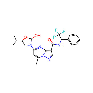 Cc1cc(N2CC(C(C)C)OC2O)nc2c(C(=O)NC(c3ccccc3)C(F)(F)F)cnn12